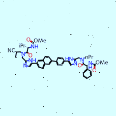 CCCN(Cc1ncc(-c2ccc(-c3ccc4cc(-c5cnc(CN(C[C@H](C)C#N)C(=O)[C@@H](NC(=O)OC)C(C)C)[nH]5)ccc4c3)cc2)[nH]1)C(=O)[C@H](NC(=O)OC)c1ccccc1